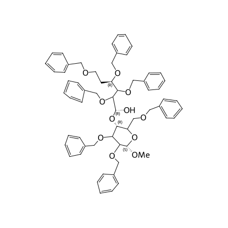 CO[C@H]1OC(COCc2ccccc2)[C@@H](O[C@@H](O)C(OCc2ccccc2)C(OCc2ccccc2)[C@@H](CCOCc2ccccc2)OCc2ccccc2)C(OCc2ccccc2)C1OCc1ccccc1